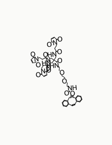 O=C(CCN1C(=O)C=CC1=O)NCC(CNC(=O)CCN1C(=O)C=CC1=O)(CNC(=O)CCN1C(=O)C=CC1=O)C(=O)NCCOCCOCCNC(=O)O[C@@H]1Cc2ccccc2C#Cc2ccccc21